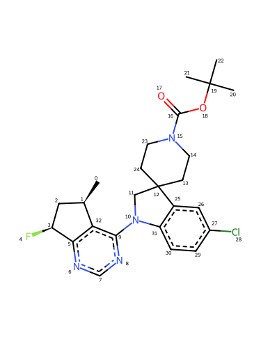 C[C@@H]1C[C@H](F)c2ncnc(N3CC4(CCN(C(=O)OC(C)(C)C)CC4)c4cc(Cl)ccc43)c21